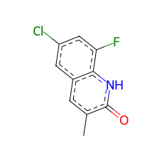 Cc1cc2cc(Cl)cc(F)c2[nH]c1=O